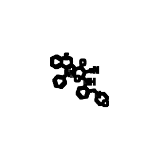 N#CC(C(=O)Nc1ccccc1CN1CCOCC1)C(=O)c1nn(-c2ccccc2)c2c1CSc1ccccc1-2